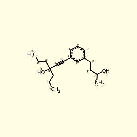 CCCC(O)(C#Cc1cccc(CCC(N)O)c1)CCC